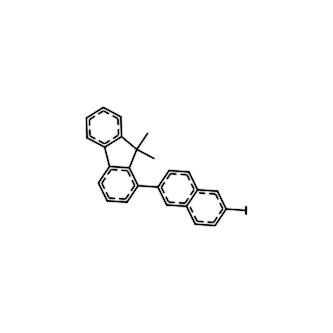 CC1(C)c2ccccc2-c2cccc(-c3ccc4cc(I)ccc4c3)c21